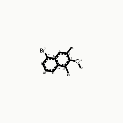 COc1c(C)cc2c(Br)cccc2c1C